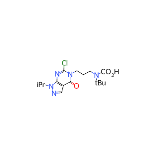 CC(C)n1ncc2c(=O)n(CCCN(C(=O)O)C(C)(C)C)c(Cl)nc21